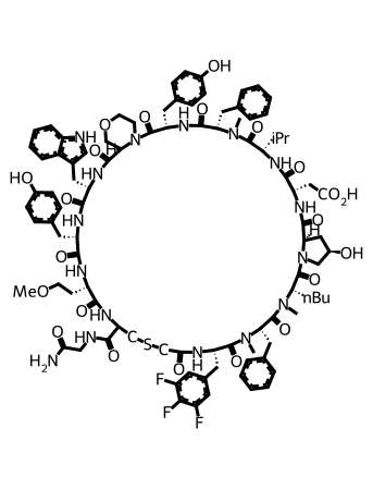 CCCC[C@H]1C(=O)N2C[C@H](O)C[C@@H]2C(=O)N[C@@H](CC(=O)O)C(=O)N[C@@H](C(C)C)C(=O)N(C)[C@@H](Cc2ccccc2)C(=O)N[C@@H](Cc2ccc(O)cc2)C(=O)N2CCOC[C@@H]2C(=O)N[C@@H](Cc2c[nH]c3ccccc23)C(=O)N[C@@H](Cc2ccc(O)cc2)C(=O)N[C@@H](CCOC)C(=O)NC(C(=O)NCC(N)=O)CSCC(=O)N[C@@H](Cc2cc(F)c(F)c(F)c2)C(=O)N(C)[C@@H](Cc2ccccc2)C(=O)N1C